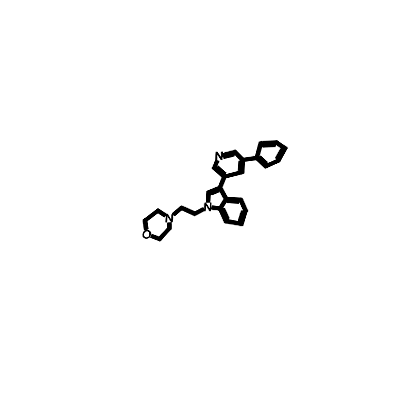 c1ccc(-c2cncc(-c3cn(CCN4CCOCC4)c4ccccc34)c2)cc1